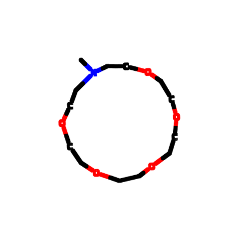 CN1CCOCCOCCOCCOCCOCC1